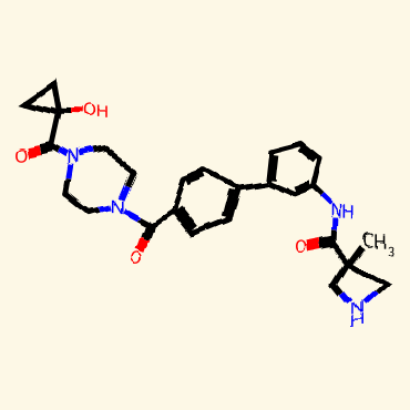 CC1(C(=O)Nc2cccc(-c3ccc(C(=O)N4CCN(C(=O)C5(O)CC5)CC4)cc3)c2)CNC1